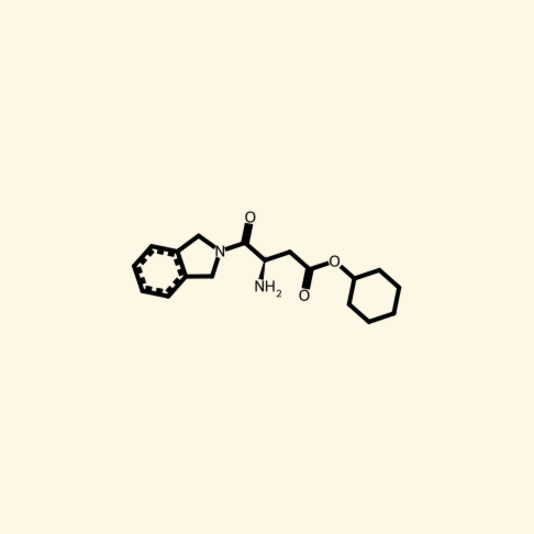 N[C@H](CC(=O)OC1CCCCC1)C(=O)N1Cc2ccccc2C1